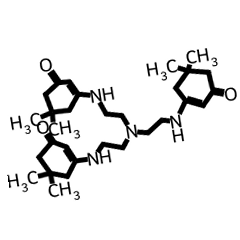 CC1(C)CC(=O)C=C(NCCN(CCNC2=CC(=O)CC(C)(C)C2)CCNC2=CC(=O)CC(C)(C)C2)C1